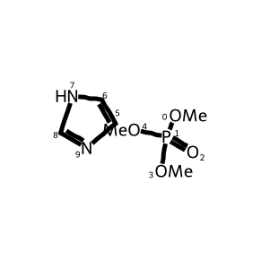 COP(=O)(OC)OC.c1c[nH]cn1